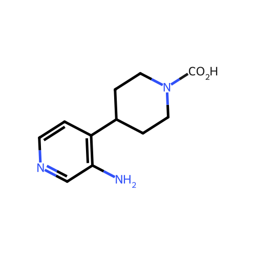 Nc1cnccc1C1CCN(C(=O)O)CC1